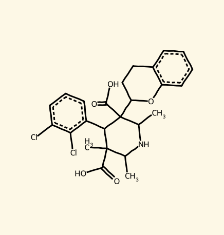 CC1NC(C)C(C(=O)O)(C2CCc3ccccc3O2)C(c2cccc(Cl)c2Cl)C1(C)C(=O)O